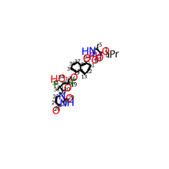 CC(C)OC(=O)[C@H](C)N[PH](=O)Oc1cccc2c(OC[C@@]3(F)O[C@@H](n4ccc(=O)[nH]c4=O)[C@](C)(F)[C@@H]3O)cccc12